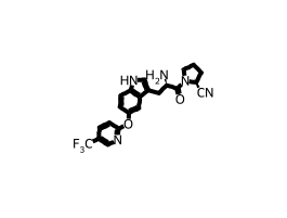 N#C[C@@H]1CCCN1C(=O)[C@@H](N)Cc1c[nH]c2ccc(Oc3ccc(C(F)(F)F)cn3)cc12